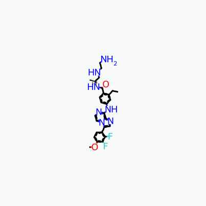 CCc1cc(Nc2nccn3c(-c4ccc(OC)c(F)c4F)cnc23)ccc1C(=O)N[C@@H](C)CNCCN